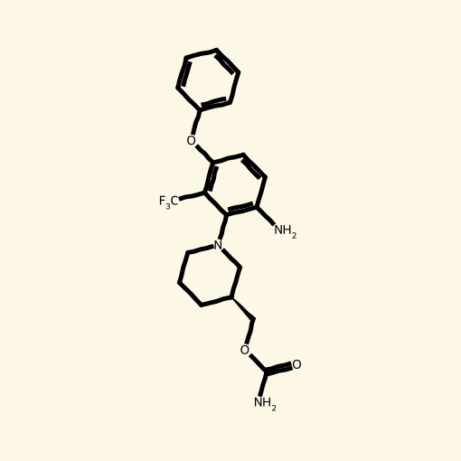 NC(=O)OC[C@H]1CCCN(c2c(N)ccc(Oc3ccccc3)c2C(F)(F)F)C1